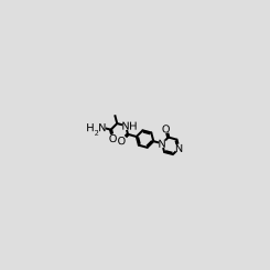 CC(NC(=O)c1ccc(-n2ccncc2=O)cc1)C(N)=O